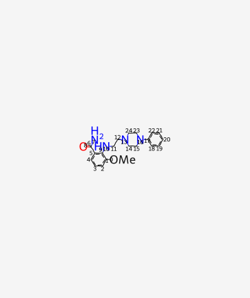 COc1cccc(C(N)=O)c1NCCN1CCN(c2ccccc2)CC1